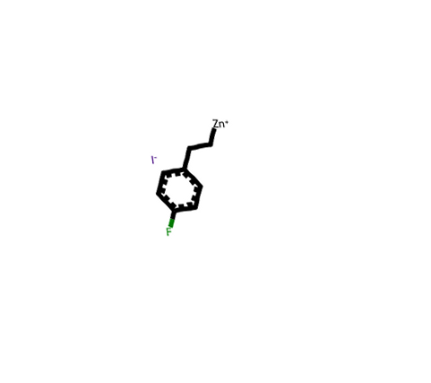 Fc1ccc(C[CH2][Zn+])cc1.[I-]